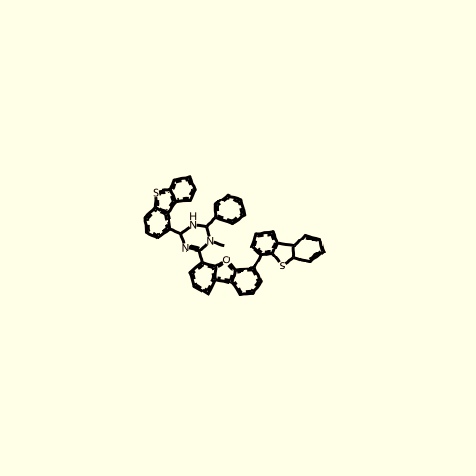 CN1C(c2cccc3c2oc2c(-c4cccc5c4SC4C=CC=CC54)cccc23)=NC(c2cccc3sc4ccccc4c23)NC1c1ccccc1